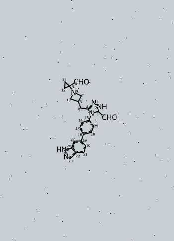 O=CC1NN=C(CC2CN(C3(C=O)CC3)C2)N1c1ccc(-c2ccc3cn[nH]c3c2)cc1